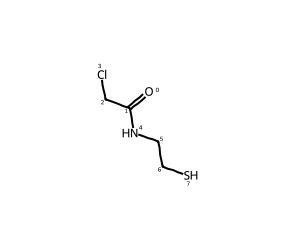 O=C(CCl)NCCS